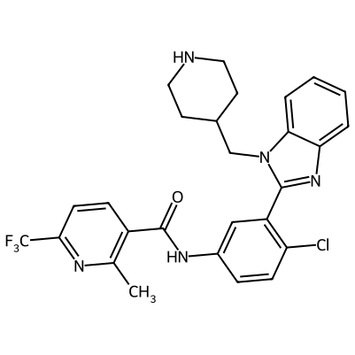 Cc1nc(C(F)(F)F)ccc1C(=O)Nc1ccc(Cl)c(-c2nc3ccccc3n2CC2CCNCC2)c1